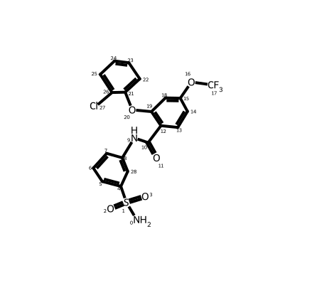 NS(=O)(=O)c1cccc(NC(=O)c2ccc(OC(F)(F)F)cc2Oc2ccccc2Cl)c1